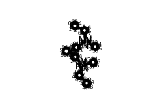 c1ccc(-c2cccc(-c3nc(-c4ccccc4)nc(-c4ccc(C5(c6ccc(-c7nc(-c8ccccc8)nc(-c8cccc(-c9ccccc9)c8)n7)cc6)CCCCC5)cc4)n3)c2)cc1